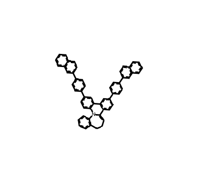 C1=C2c3ccc(-c4ccc(-c5ccc6ccccc6c5)cc4)cc3-c3cc(-c4ccc(-c5ccc6ccccc6c5)cc4)ccc3N2c2ccccc2CC1